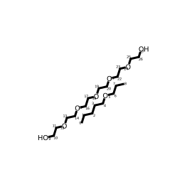 CCCCCOCCC.OCCOCCOCCOCCOCCOCCO